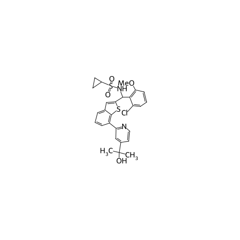 COc1cccc(Cl)c1C(NS(=O)(=O)C1CC1)c1cc2cccc(-c3cc(C(C)(C)O)ccn3)c2s1